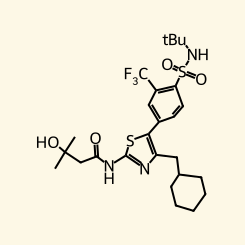 CC(C)(O)CC(=O)Nc1nc(CC2CCCCC2)c(-c2ccc(S(=O)(=O)NC(C)(C)C)c(C(F)(F)F)c2)s1